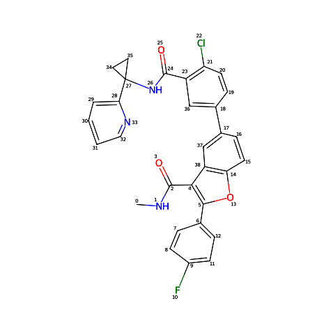 CNC(=O)c1c(-c2ccc(F)cc2)oc2ccc(-c3ccc(Cl)c(C(=O)NC4(c5ccccn5)CC4)c3)cc12